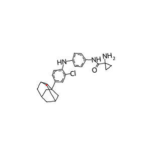 NC1(C(=O)Nc2ccc(Nc3ccc(C45CC6CC(CC(C6)C4)C5)cc3Cl)cc2)CC1